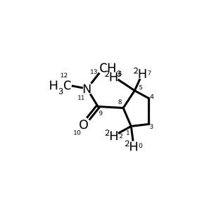 [2H]C1([2H])CCC([2H])([2H])C1C(=O)N(C)C